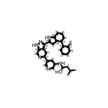 CC(C)CC(O)Nc1cncc(-c2cc3c(-c4cc5c(-c6ccccc6F)cccc5[nH]4)n[nH]c3cn2)c1